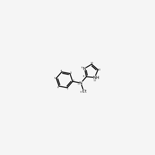 CCN(c1[c]cccc1)c1ncc[nH]1